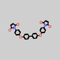 O=C1C=CC(=O)N1c1ccc(Oc2ccc(-c3ccc(Oc4ccc(N5C(=O)C=CC5=O)cc4)cc3)cc2)cc1